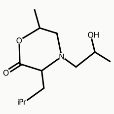 CC(C)CC1C(=O)OC(C)CN1CC(C)O